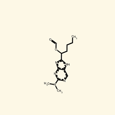 CCCCC(O[C]=O)c1nc2nc(N(C)C)ncc2[nH]1